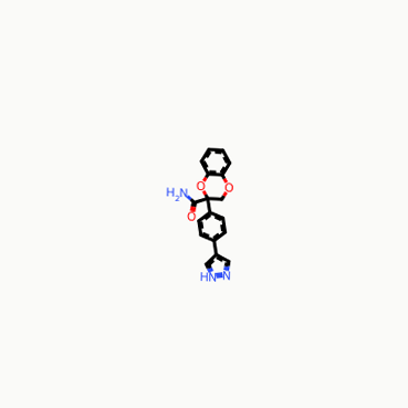 NC(=O)C1(c2ccc(-c3cn[nH]c3)cc2)COc2ccccc2O1